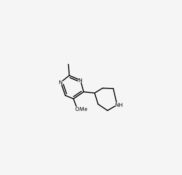 COc1cnc(C)nc1C1CCNCC1